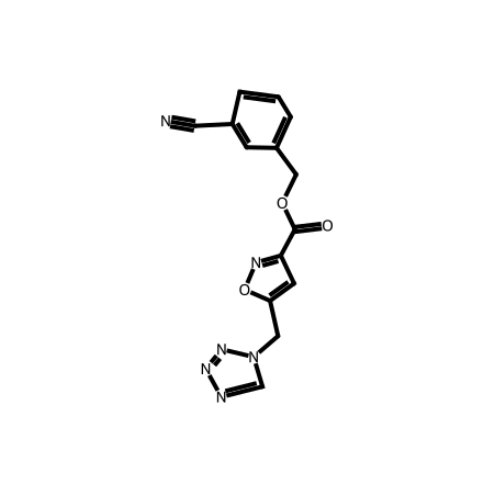 N#Cc1cccc(COC(=O)c2cc(Cn3cnnn3)on2)c1